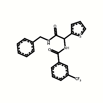 O=C(NC(C(=O)NCc1ccccc1)c1cccs1)c1cccc(C(F)(F)F)c1